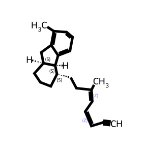 C#C/C=C\C=C(\C)CC[C@@H]1CCC[C@H]2Cc3c(C)cccc3[C@@H]12